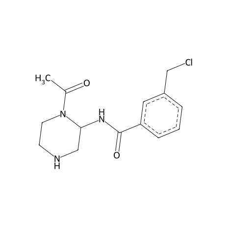 CC(=O)N1CCNCC1NC(=O)c1cccc(CCl)c1